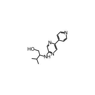 CC(C)C(CO)Nc1cnc(-c2ccncc2)cn1